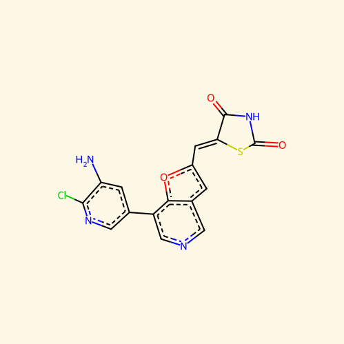 Nc1cc(-c2cncc3cc(/C=C4\SC(=O)NC4=O)oc23)cnc1Cl